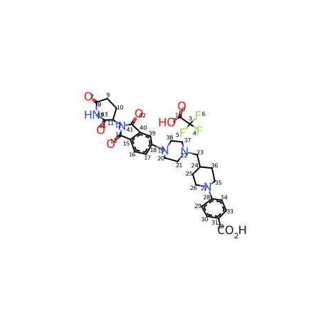 O=C(O)C(F)(F)F.O=C1CCC(N2C(=O)c3ccc(N4CCN(CC5CCN(c6ccc(C(=O)O)cc6)CC5)CC4)cc3C2=O)C(=O)N1